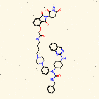 O=C(COc1cccc2c1C(=O)N(C1CCC(=O)NC1=O)C2=O)NCCCCN1CCN(c2cccc(N(C(=O)NCc3ccccc3)C3CCC(Nc4ncc5ccccc5n4)CC3)c2)CC1